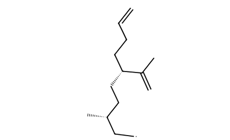 [CH2]C[C@H](C)CC[C@H](CCC=C)C(=C)C